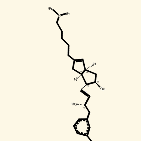 Cc1cccc(C[C@H](O)/C=C/[C@@H]2[C@H]3CC(CCCCCN(C(C)C)C(C)C)=C[C@H]3C[C@H]2O)c1